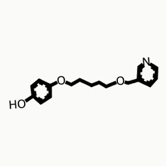 Oc1ccc(OCCCCCOCc2cccnc2)cc1